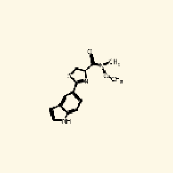 CON(C)C(=O)[C@@H]1CSC(c2ccc3[nH]ccc3c2)=N1